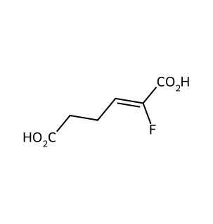 O=C(O)CCC=C(F)C(=O)O